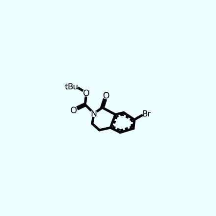 CC(C)(C)OC(=O)N1CCc2ccc(Br)cc2C1=O